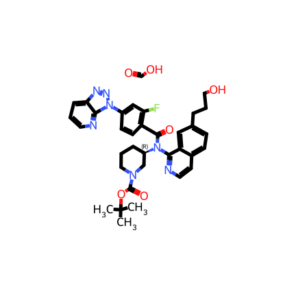 CC(C)(C)OC(=O)N1CCC[C@@H](N(C(=O)c2ccc(-n3nnc4cccnc43)cc2F)c2nccc3ccc(CCCO)cc23)C1.O=CO